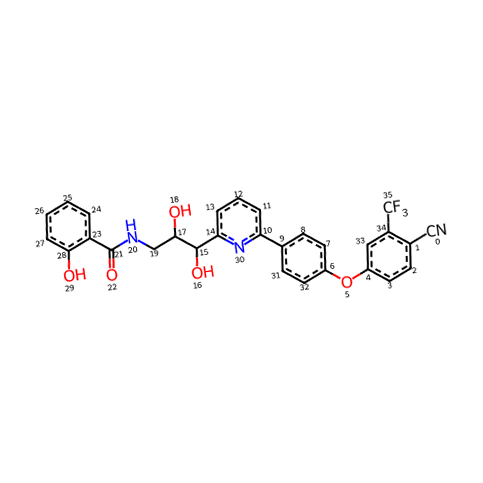 N#Cc1ccc(Oc2ccc(-c3cccc(C(O)C(O)CNC(=O)c4ccccc4O)n3)cc2)cc1C(F)(F)F